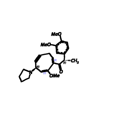 COC1=C/[C@@H](N2CCCC2)C#CC/C=C\1C(=O)[C@@H](C)c1ccc(OC)c(OC)c1